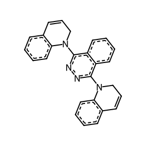 C1=Cc2ccccc2N(c2nnc(N3CC=Cc4ccccc43)c3ccccc23)C1